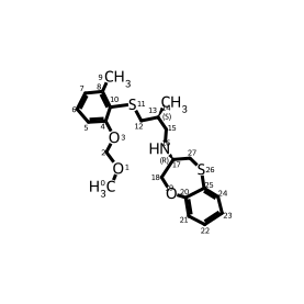 COCOc1cccc(C)c1SC[C@@H](C)CN[C@@H]1COc2ccccc2SC1